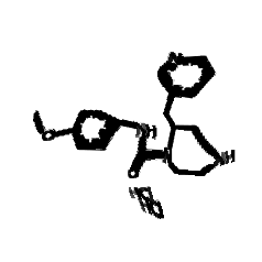 COc1ccc(NC(=O)N2CCNCC2Cc2cccnc2)cc1.Cl.Cl